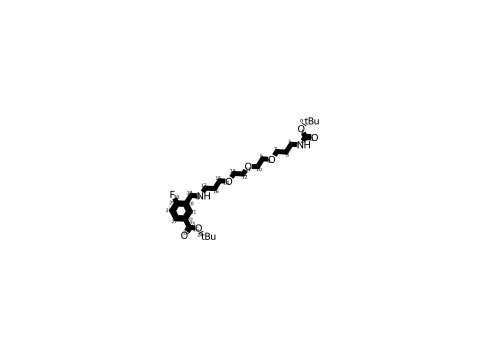 CC(C)(C)OC(=O)NCCCOCCOCCOCCCNCc1cc(C(=O)OC(C)(C)C)ccc1F